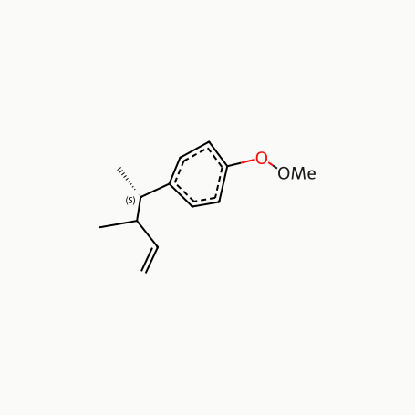 C=CC(C)[C@H](C)c1ccc(OOC)cc1